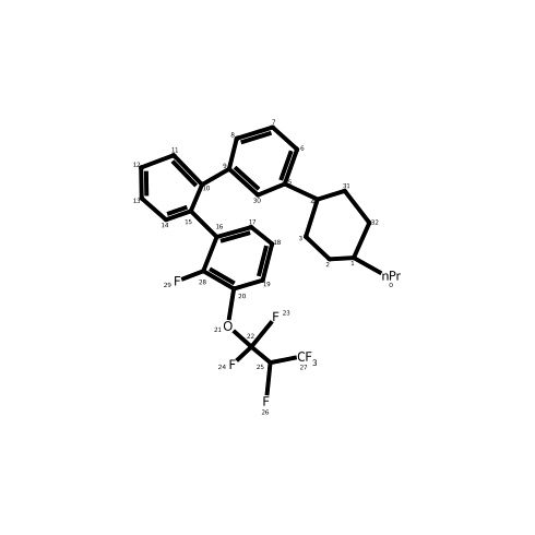 CCCC1CCC(c2cccc(-c3ccccc3-c3cccc(OC(F)(F)C(F)C(F)(F)F)c3F)c2)CC1